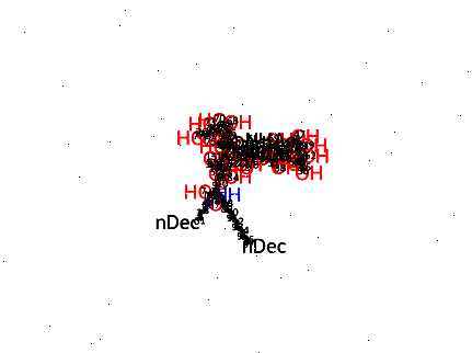 CCCCCCCCCCCCC/C=C/[C@@H](O)[C@H](CO[C@@H]1OC(CO)[C@@H](O[C@@H]2OC(CO)[C@H](O[C@@H]3OC(CO)[C@H](O)[C@H](O[C@@H]4OC(CO)[C@H](O)[C@H](O[C@]5(C(=O)O)CC(O)[C@@H](O)C([C@H](O)[C@H](O)CO)O5)C4O)C3NC(C)=O)[C@H](O[C@]3(C(=O)O)CC(O)[C@@H](O)C([C@H](O)[C@H](O)CO)O3)C2O)[C@H](O)C1O)NC(=O)CCCCCCCCCCCCCCCCCCC